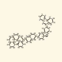 c1ccc2c(c1)cc(-c1ccc3oc4ccc(-c5ccc6cc(-c7cc8ccc9ccc%10ccccc%10c9c8c8ccccc78)ccc6c5)cc4c3c1)c1ccccc12